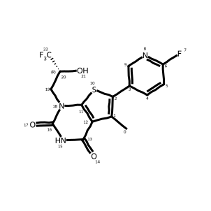 Cc1c(-c2ccc(F)nc2)sc2c1c(=O)[nH]c(=O)n2C[C@@H](O)C(F)(F)F